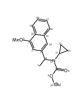 COc1cc(C(C)N(C(=O)OC(C)(C)C)C2CC2)cc2ccccc12